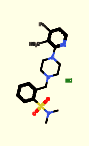 CC(C)c1ccnc(N2CCN(Cc3ccccc3S(=O)(=O)N(C)C)CC2)c1C(=O)O.Cl